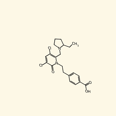 CCC1CCCN1Cc1c(Cl)cc(Cl)c(=O)n1CCc1ccc(C(=O)O)cc1